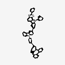 c1ccc(-c2nc3ccc4c5cc(-c6ccc7c(c6)c6ccccc6n7-c6ccc(-c7ccc8c9ccccc9c9ccccc9c8c7)cc6)ccc5n(-c5ccccc5)c4c3s2)cc1